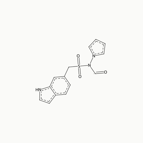 O=[C]N(n1cccc1)S(=O)(=O)Cc1ccc2cc[nH]c2c1